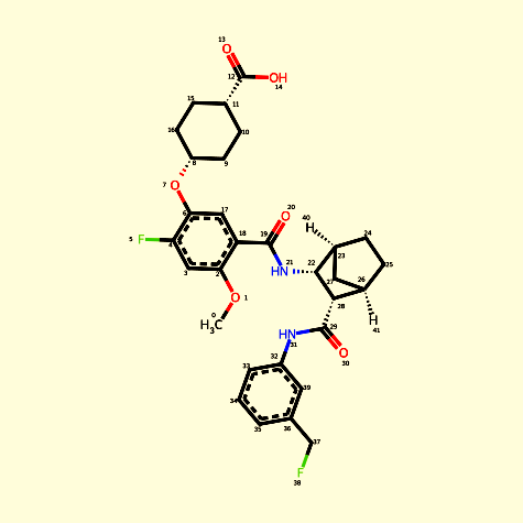 COc1cc(F)c(O[C@H]2CC[C@@H](C(=O)O)CC2)cc1C(=O)N[C@@H]1[C@H]2CC[C@H](C2)[C@@H]1C(=O)Nc1cccc(CF)c1